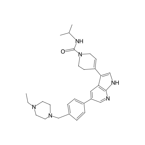 CCN1CCN(Cc2ccc(-c3cnc4[nH]cc(C5=CCN(C(=O)NC(C)C)CC5)c4c3)cc2)CC1